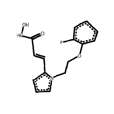 O=C(C=Cc1cccn1CCOc1ccccc1F)NO